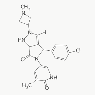 Cc1cc(N2C(=O)C3NN(C4CN(C)C4)C(I)=C3C2c2ccc(Cl)cc2)c[nH]c1=O